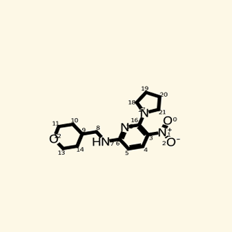 O=[N+]([O-])c1ccc(NCC2CCOCC2)nc1N1CCCC1